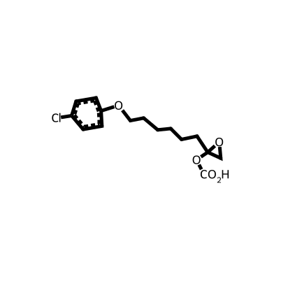 O=C(O)OC1(CCCCCCOc2ccc(Cl)cc2)CO1